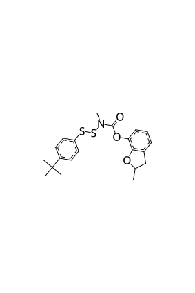 CC1Cc2cccc(OC(=O)N(C)SSc3ccc(C(C)(C)C)cc3)c2O1